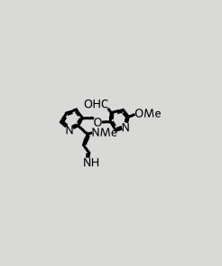 CN/C(=C\C=N)c1ncccc1COc1cnc(OC)cc1C=O